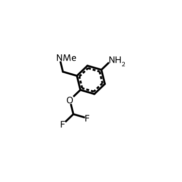 CNCc1cc(N)ccc1OC(F)F